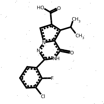 CC(C)c1c(C(=O)O)cn2nc(-c3cccc(Cl)c3F)[nH]c(=O)c12